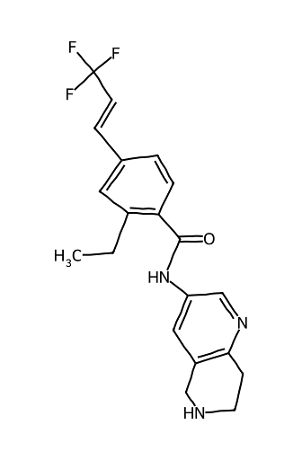 CCc1cc(C=CC(F)(F)F)ccc1C(=O)Nc1cnc2c(c1)CNCC2